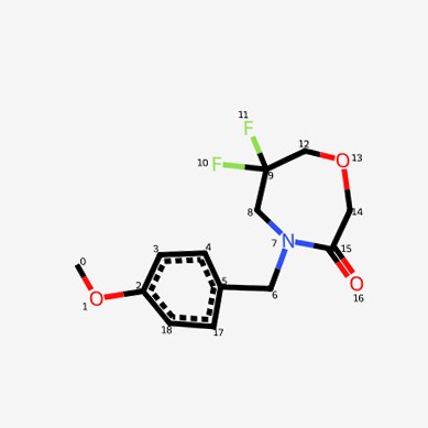 COc1ccc(CN2CC(F)(F)COCC2=O)cc1